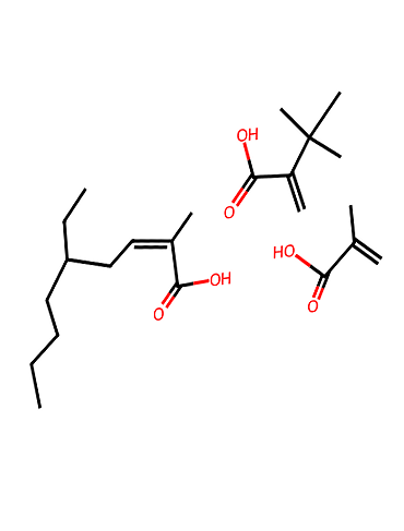 C=C(C(=O)O)C(C)(C)C.C=C(C)C(=O)O.CCCCC(CC)CC=C(C)C(=O)O